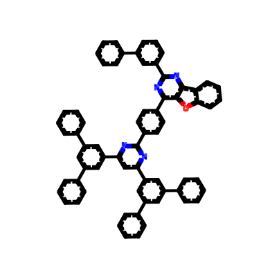 c1ccc(-c2cc(-c3ccccc3)cc(-c3cc(-c4cc(-c5ccccc5)cc(-c5ccccc5)c4)nc(-c4ccc(-c5nc(-c6cccc(-c7ccccc7)c6)nc6c5oc5ccccc56)cc4)n3)c2)cc1